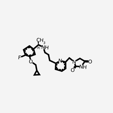 C[C@@H](NCCCc1cccc(CN2CC(=O)NC2=O)n1)c1ccc(F)c(OCC2CC2)c1